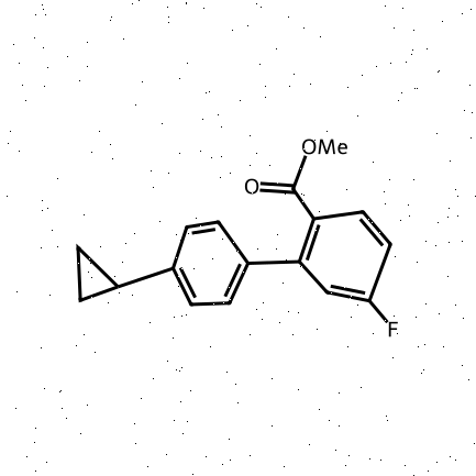 COC(=O)c1ccc(F)cc1-c1ccc(C2CC2)cc1